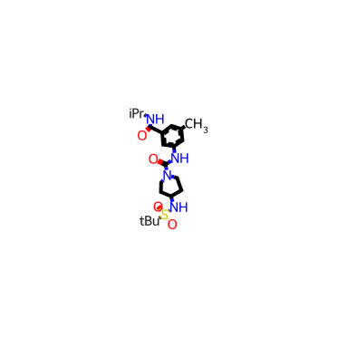 Cc1cc(NC(=O)N2CCC(NS(=O)(=O)C(C)(C)C)CC2)cc(C(=O)NC(C)C)c1